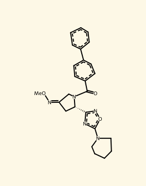 CON=C1C[C@@H](c2noc(N3CCCCC3)n2)N(C(=O)c2ccc(-c3ccccc3)cc2)C1